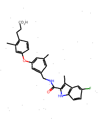 Cc1cc(CNC(=O)c2[nH]c3ccc(F)cc3c2C)cc(Oc2ccc(CCC(=O)O)c(C)c2)c1